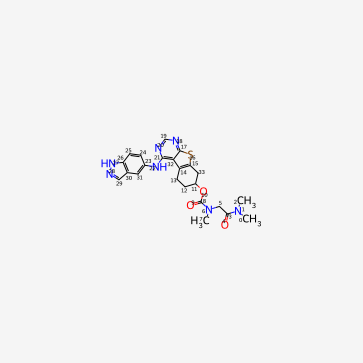 CN(C)C(=O)CN(C)C(=O)OC1CCc2c(sc3ncnc(Nc4ccc5[nH]ncc5c4)c23)C1